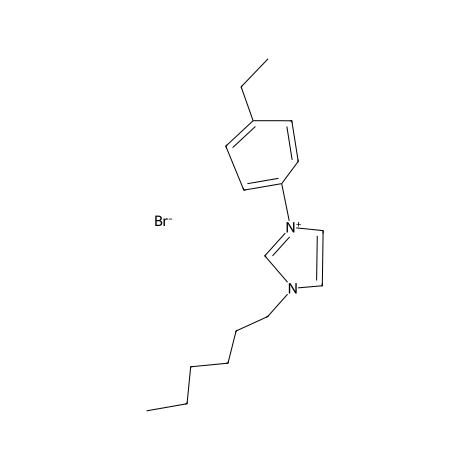 CCCCCCn1cc[n+](-c2ccc(CC)cc2)c1.[Br-]